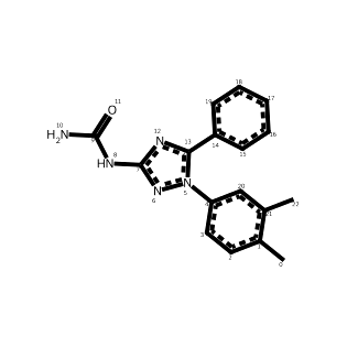 Cc1ccc(-n2nc(NC(N)=O)nc2-c2ccccc2)cc1C